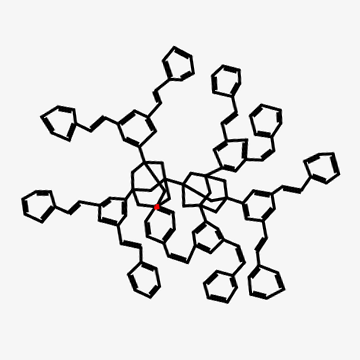 C(=Cc1cc(C=Cc2ccccc2)cc(C23CC4CC(c5cc(C=Cc6ccccc6)cc(C=Cc6ccccc6)c5)(C2)CC(C25CC6(c7cc(C=Cc8ccccc8)cc(C=Cc8ccccc8)c7)CC(c7cc(C=Cc8ccccc8)cc(C=Cc8ccccc8)c7)(CC(c7cc(C=Cc8ccccc8)cc(C=Cc8ccccc8)c7)(C6)C2)C5)(C4)C3)c1)c1ccccc1